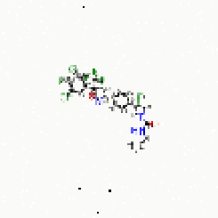 CCNC(=O)N1CC(F)(c2ccc(C3=NOC(c4cc(Cl)c(F)c(Cl)c4)(C(F)(F)F)C3)cc2)C1